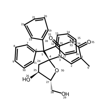 Cc1cn([C@@]2(C(c3ccccc3)(c3ccccc3)c3ccccc3)C[C@H](O)[C@@H](CO)O2)c(=O)[nH]c1=O